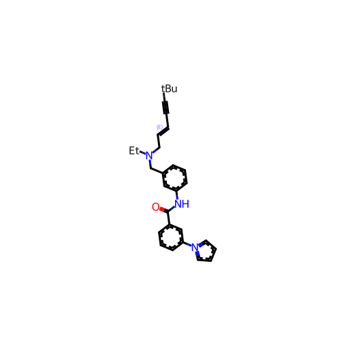 CCN(C/C=C/C#CC(C)(C)C)Cc1cccc(NC(=O)c2cccc(-n3cccc3)c2)c1